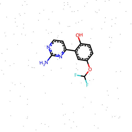 Nc1nccc(-c2cc(OC(F)F)ccc2O)n1